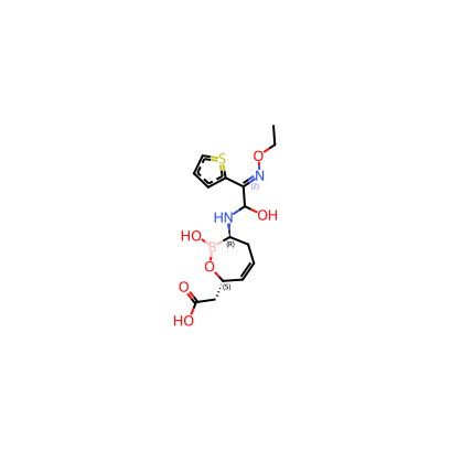 CCO/N=C(\c1cccs1)C(O)N[C@H]1CC=C[C@H](CC(=O)O)OB1O